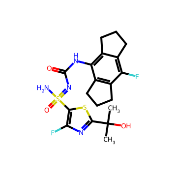 CC(C)(O)c1nc(F)c(S(N)(=O)=NC(=O)Nc2c3c(c(F)c4c2CCC4)CCC3)s1